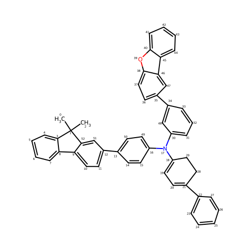 CC1(C)c2ccccc2-c2ccc(-c3ccc(N(C4=CC=C(c5ccccc5)CC4)c4cccc(-c5ccc6oc7ccccc7c6c5)c4)cc3)cc21